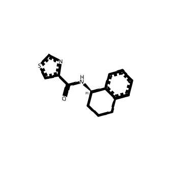 O=C(N[C@@H]1CCCc2ccccc21)c1cscn1